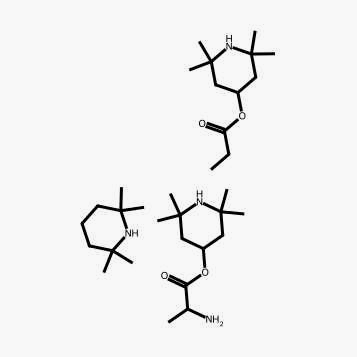 CC(N)C(=O)OC1CC(C)(C)NC(C)(C)C1.CC1(C)CCCC(C)(C)N1.CCC(=O)OC1CC(C)(C)NC(C)(C)C1